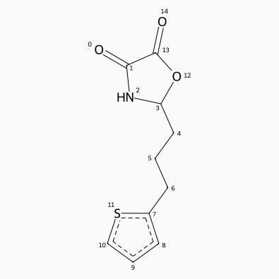 O=C1NC(CCCc2cccs2)OC1=O